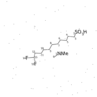 CNC.O=S(=O)(O)CCCCCCCCCCC(F)F